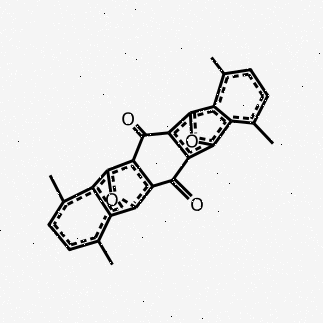 Cc1ccc(C)c2c3oc(c4c3C(=O)c3c(c5oc3c3c(C)ccc(C)c53)C4=O)c12